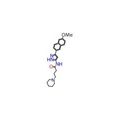 COc1ccc2cc(-c3cc(NC(=O)CCCN4CCCCC4)[nH]n3)ccc2c1